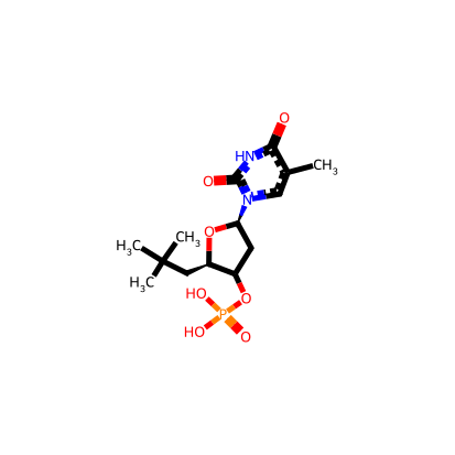 Cc1cn([C@H]2CC(OP(=O)(O)O)[C@@H](CC(C)(C)C)O2)c(=O)[nH]c1=O